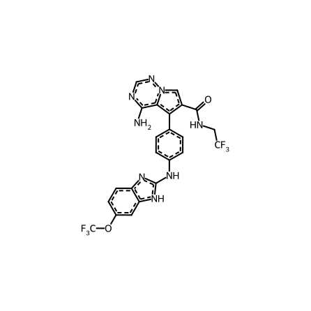 Nc1ncnn2cc(C(=O)NCC(F)(F)F)c(-c3ccc(Nc4nc5ccc(OC(F)(F)F)cc5[nH]4)cc3)c12